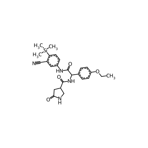 CCOc1ccc(C(NC(=O)C2CNC(=O)C2)C(=O)Nc2ccc([Si](C)(C)C)c(C#N)c2)cc1